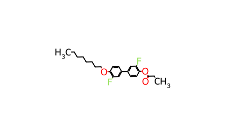 CCCCCCCCOc1ccc(-c2ccc(OC(=O)CC)c(F)c2)cc1F